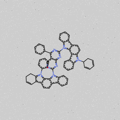 C1=CCC(n2c3ccccc3c3c4c(ccc32)c2ccccc2n4-c2nc(-c3ccccc3)c3cnc(-n4c5ccccc5c5ccc6c7c(n(-c8ccccc8)c6c54)CCC=C7)nc3n2)C=C1